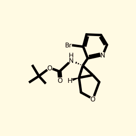 CC(C)(C)OC(=O)N[C@]1(c2ncccc2Br)C2COC[C@@H]21